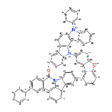 O=c1c2ccc(-c3ccccc3)cc2c2cccc3c4cc(-c5cccc6oc7ccc(-n8c9ccccc9c9ccc%10c(c%11ccccc%11n%10-c%10ccccc%10)c98)cc7c56)ccc4n1c23